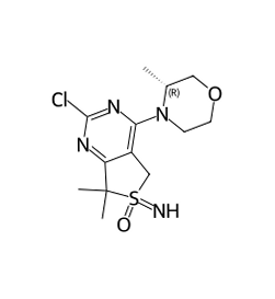 C[C@@H]1COCCN1c1nc(Cl)nc2c1CS(=N)(=O)C2(C)C